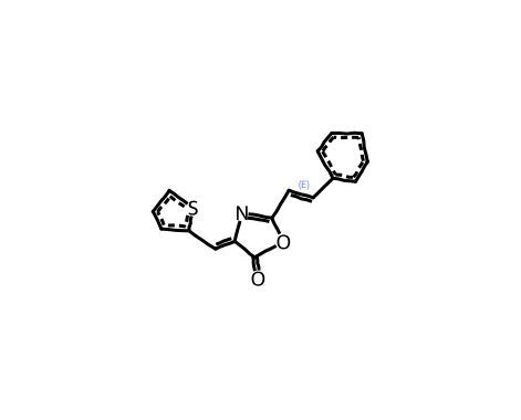 O=C1OC(/C=C/c2ccccc2)=NC1=Cc1cccs1